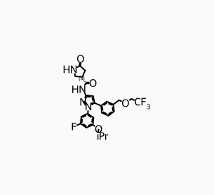 CC(C)Oc1cc(F)cc(-n2nc(NC(=O)[C@@H]3CNC(=O)C3)cc2-c2cccc(COCC(F)(F)F)c2)c1